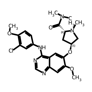 COc1ccc(Nc2ncnc3cc(OC)c(O[C@H]4C[C@H](C(=O)N(C)C)N(C)C4)cc23)cc1Cl